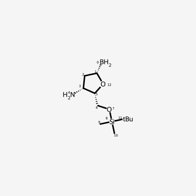 B[C@H]1C[C@@H](N)[C@@H](CO[Si](C)(C)C(C)(C)C)O1